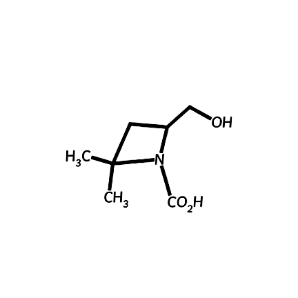 CC1(C)CC(CO)N1C(=O)O